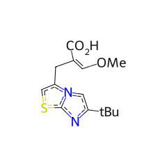 COC=C(Cc1csc2nc(C(C)(C)C)cn12)C(=O)O